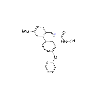 COc1ccc(/C=C/C(=O)NO)c(-c2ccc(Oc3ccccc3)cc2)c1